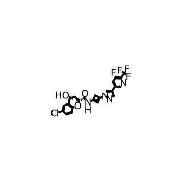 O=C(NC12CC(n3cc(-c4cnc(C(F)(F)F)c(F)c4)cn3)(C1)C2)[C@H]1C[C@@H](O)c2cc(Cl)ccc2O1